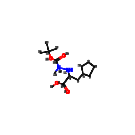 COC(=O)C(CC1CCCC1)NN(C)C(=O)OC(C)(C)C